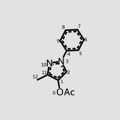 CC(=O)Oc1cn(-c2ccccc2)nc1C